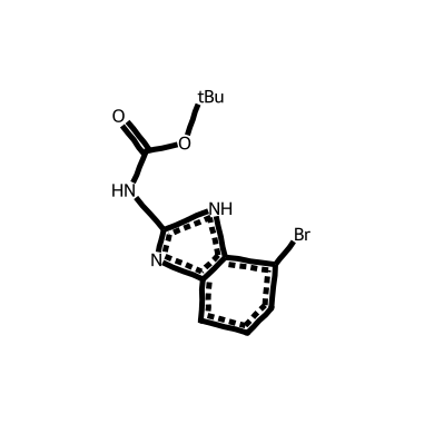 CC(C)(C)OC(=O)Nc1nc2cccc(Br)c2[nH]1